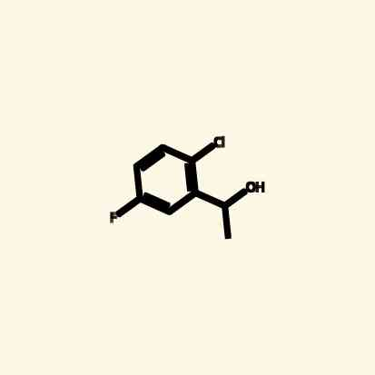 CC(O)c1cc(F)ccc1Cl